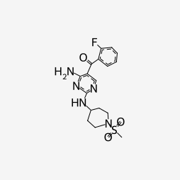 CS(=O)(=O)N1CCC(Nc2ncc(C(=O)c3ccccc3F)c(N)n2)CC1